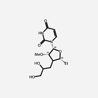 CC[C@H]1O[C@@H](n2ccc(=O)[nH]c2=O)[C@@H](OC)C1CC(O)CO